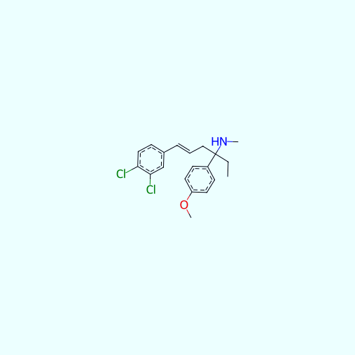 CCC(CC=Cc1ccc(Cl)c(Cl)c1)(NC)c1ccc(OC)cc1